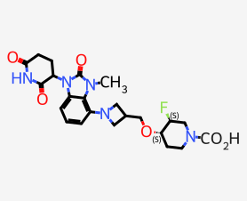 Cn1c(=O)n(C2CCC(=O)NC2=O)c2cccc(N3CC(CO[C@H]4CCN(C(=O)O)C[C@@H]4F)C3)c21